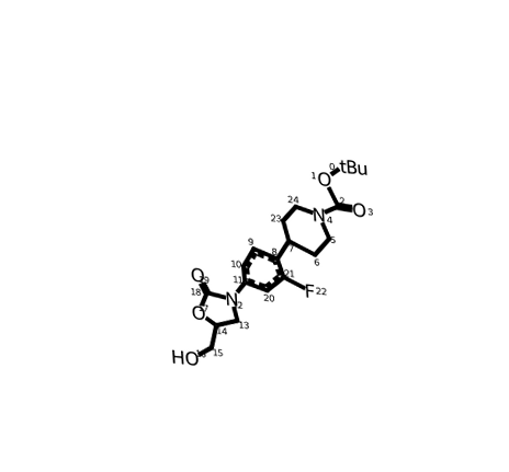 CC(C)(C)OC(=O)N1CCC(c2ccc(N3CC(CO)OC3=O)cc2F)CC1